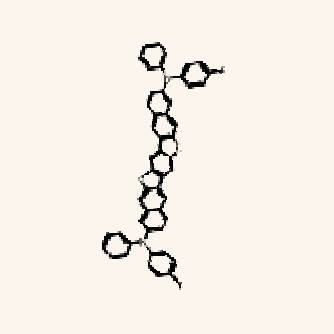 Fc1ccc(N(c2ccccc2)c2ccc3cc4c(cc3c2)oc2cc3c(cc24)oc2cc4cc(N(c5ccccc5)c5ccc(F)cc5)ccc4cc23)cc1